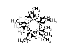 COC[Si]1(C(C)C)O[Si](COC)(C(C)C)O[Si](COC)(C(C)C)O[Si](COC)(C(C)C)O[Si](COC)(C(C)C)O1